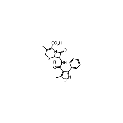 CC1=C(C(=O)O)N2C(=O)C(NC(=O)c3c(-c4ccccc4)noc3C)[C@H]2SC1